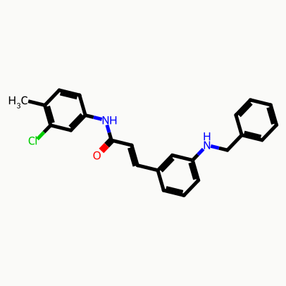 Cc1ccc(NC(=O)/C=C/c2cccc(NCc3ccccc3)c2)cc1Cl